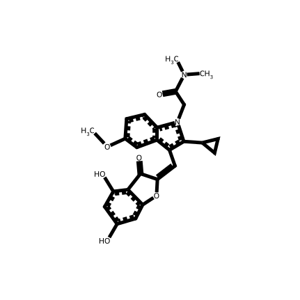 COc1ccc2c(c1)c(C=C1Oc3cc(O)cc(O)c3C1=O)c(C1CC1)n2CC(=O)N(C)C